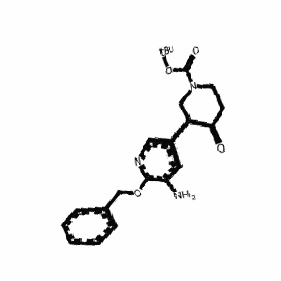 CC(C)(C)OC(=O)N1CCC(=O)C(c2cnc(OCc3ccccc3)c(N)c2)C1